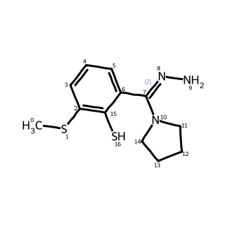 CSc1cccc(/C(=N/N)N2CCCC2)c1S